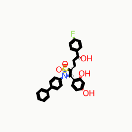 O=S1(=O)[C@@H](CC[C@@H](O)c2ccc(F)cc2)[C@@H](c2ccc(O)cc2O)N1c1ccc(-c2ccccc2)cc1